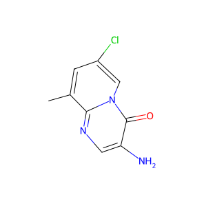 Cc1cc(Cl)cn2c(=O)c(N)cnc12